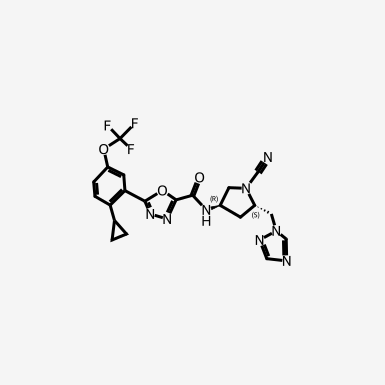 N#CN1C[C@H](NC(=O)c2nnc(-c3cc(OC(F)(F)F)ccc3C3CC3)o2)C[C@H]1Cn1cncn1